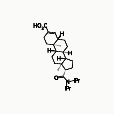 CC(C)N(C(=O)[C@H]1CC[C@H]2[C@@H]3CC[C@H]4C=C(C(=O)O)CC[C@]4(C)[C@H]3CC[C@]12C)C(C)C